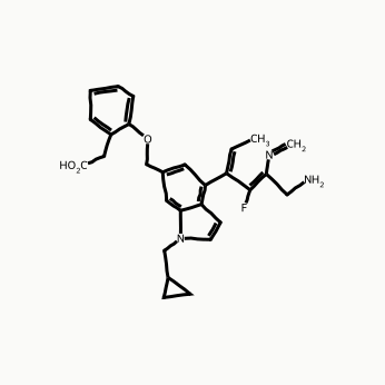 C=N/C(CN)=C(F)\C(=C/C)c1cc(COc2ccccc2CC(=O)O)cc2c1ccn2CC1CC1